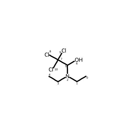 CCN(CC)C(O)C(Cl)(Cl)Cl